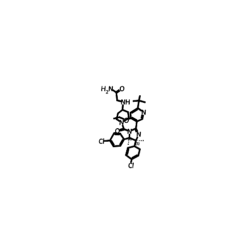 CCOc1cc(C(C)(C)C)ncc1C1=N[C@@](C)(C2C=CC(Cl)=CC2)[C@@](C)(c2ccc(Cl)cc2)N1C(=O)N1CCC(NCC(N)=O)CC1